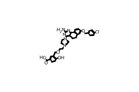 Nc1nc2c(c(N3CCN(CCOCc4cc(C(=O)O)ccc4O)CC3)n1)CCc1cc(OCc3ccc(Cl)cc3)ccc1-2